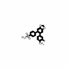 Cc1ccc(-c2cc3c(cc2-c2ccc(S(C)(=O)=O)cc2)OCO3)cc1F